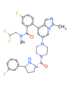 Cc1ncc2c(-c3ccc(F)cc3C(=O)N(CC(F)F)C(C)C)cc(N3CCN(C(=O)[C@@H]4CCC(c5cccc(F)c5)N4)CC3)cn12